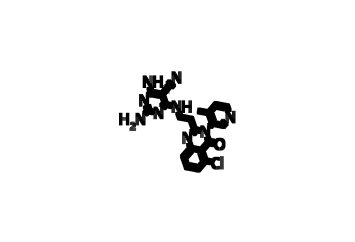 Cc1ccncc1-n1c(CCNc2nc(N)nc(N)c2C#N)nc2cccc(Cl)c2c1=O